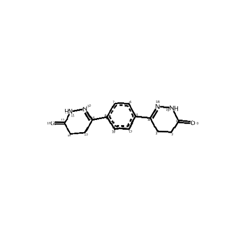 O=C1CCC(c2ccc(C3=NNC(=O)CC3)cc2)=NN1